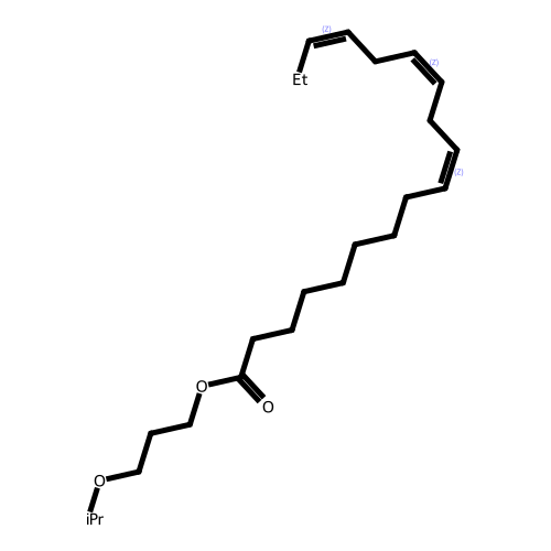 CC/C=C\C/C=C\C/C=C\CCCCCCCC(=O)OCCCOC(C)C